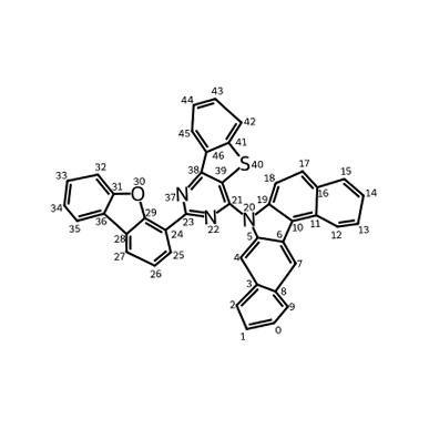 c1ccc2cc3c(cc2c1)c1c2ccccc2ccc1n3-c1nc(-c2cccc3c2oc2ccccc23)nc2c1sc1ccccc12